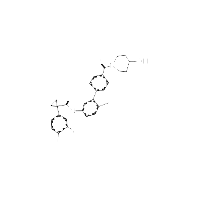 Cc1ccc(NC(=O)C2(c3ccc(O)c(O)c3)CC2)cc1-c1ccc(C(=O)N2CCC(O)CC2)cc1